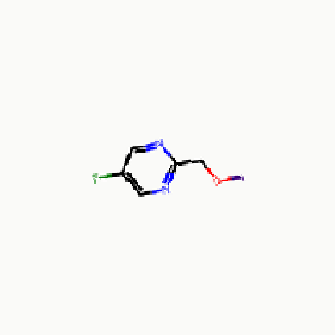 Fc1cnc(COI)nc1